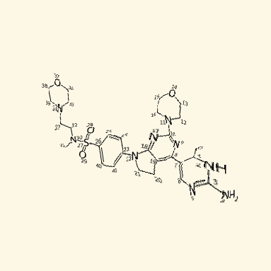 CC1NC(N)=NC=C1c1nc(N2CCOCC2)nc2c1CCN2c1ccc(S(=O)(=O)N(C)CCN2CCOCC2)cc1